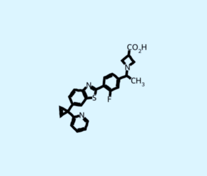 CC(c1ccc(-c2nc3ccc(C4(c5ccccn5)C=C4)cc3s2)c(F)c1)N1CC(C(=O)O)C1